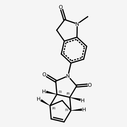 CN1C(=O)Cc2cc(N3C(=O)[C@@H]4[C@H](C3=O)[C@@H]3C=C[C@H]4C3)ccc21